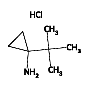 CC(C)(C)C1(N)CC1.Cl